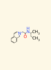 CCC(C)NC(=O)C[n+]1ccc2ccccc2c1